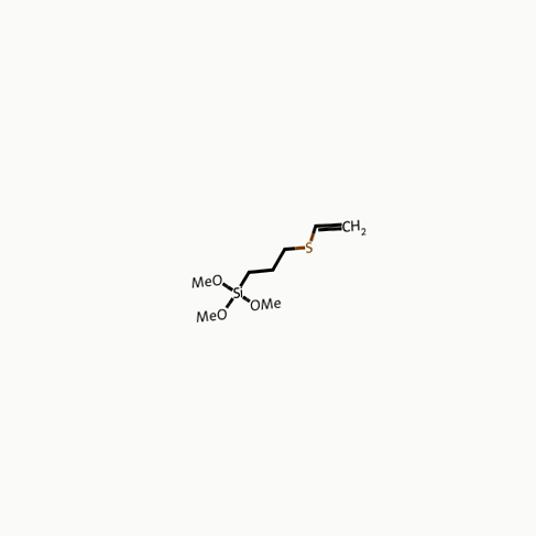 C=CSCCC[Si](OC)(OC)OC